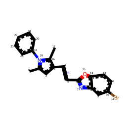 Cc1cc(/C=C/c2nc3cc(Br)ccc3o2)c(C)n1-c1ccccc1